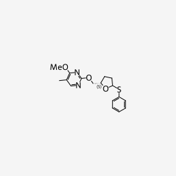 COc1nc(OC[C@@H]2CCC(Sc3ccccc3)O2)ncc1C